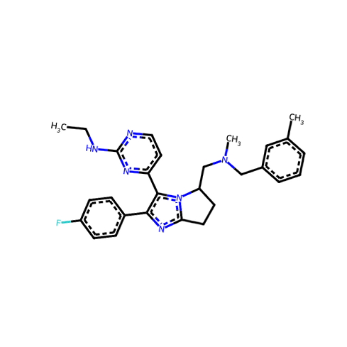 CCNc1nccc(-c2c(-c3ccc(F)cc3)nc3n2C(CN(C)Cc2cccc(C)c2)CC3)n1